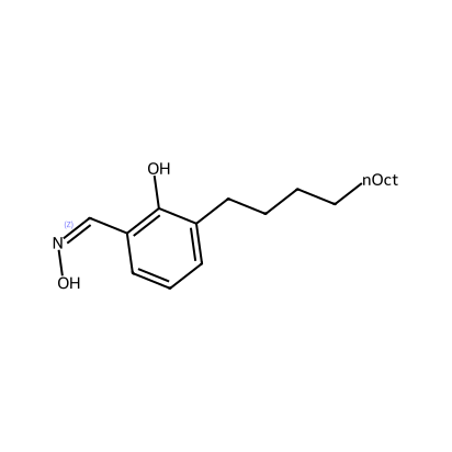 CCCCCCCCCCCCc1cccc(/C=N\O)c1O